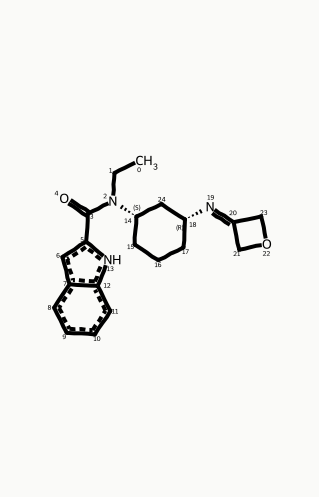 CCN(C(=O)c1cc2ccccc2[nH]1)[C@H]1CCC[C@@H](N=C2COC2)C1